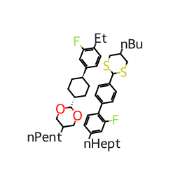 CCCCCC1COC([C@H]2CC[C@H](c3ccc(CC)c(F)c3)CC2)OC1.CCCCCCCc1ccc(-c2ccc(C3SCC(CCCC)CS3)cc2)c(F)c1